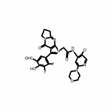 O=Cc1cc(-c2cn(CC(=O)Nc3cc(N4CCOCC4)ncc3Cl)c3nc4n(c(=O)c23)CCC4)c(F)c(F)c1O